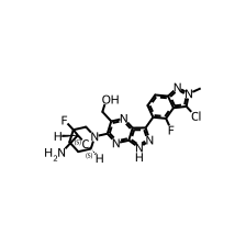 Cn1nc2ccc(-c3n[nH]c4nc(N5CC6(F)CC[C@H]5C[C@@H]6N)c(CO)nc34)c(F)c2c1Cl